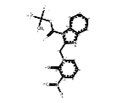 CC(C)(C)OC(=O)n1c(Cn2cccc([N+](=O)[O-])c2=O)nc2ccccc21